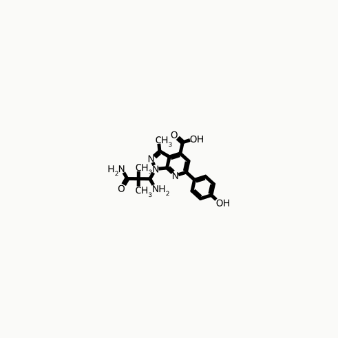 Cc1nn(C(N)C(C)(C)C(N)=O)c2nc(-c3ccc(O)cc3)cc(C(=O)O)c12